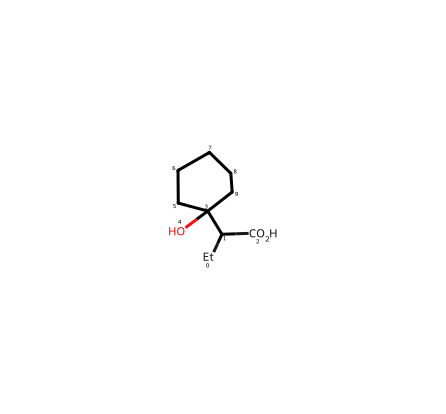 CCC(C(=O)O)C1(O)CCCCC1